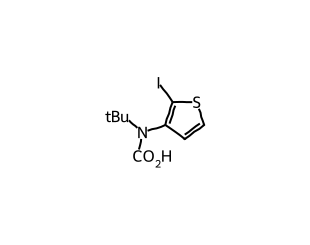 CC(C)(C)N(C(=O)O)c1ccsc1I